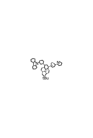 CC(C)(C)C1=CC2C=Cc3c(-c4cccc(-n5c6ccccc6c6ccccc65)c4)cc(-c4ccc(-c5ccccn5)cc4)c4c3C2(C)C(=C1)C=C4